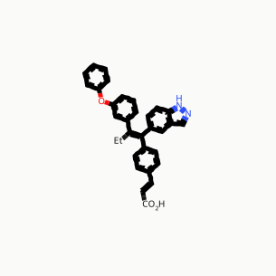 CCC(=C(c1ccc(C=CC(=O)O)cc1)c1ccc2[nH]ncc2c1)c1cccc(Oc2ccccc2)c1